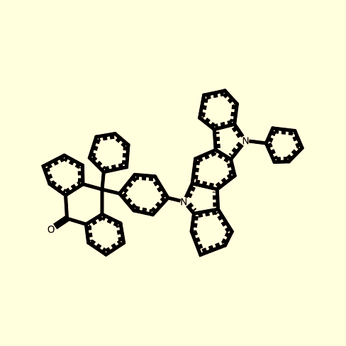 O=C1c2ccccc2C(c2ccccc2)(c2ccc(-n3c4ccccc4c4cc5c(cc43)c3ccccc3n5-c3ccccc3)cc2)c2ccccc21